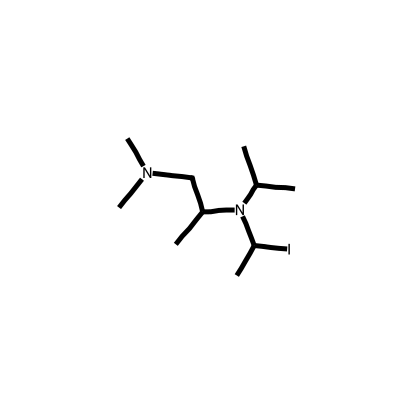 CC(C)N(C(C)I)C(C)CN(C)C